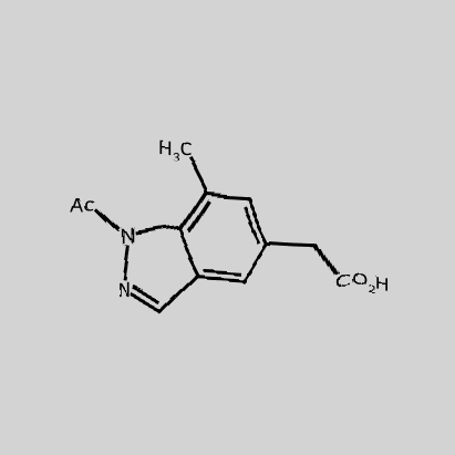 CC(=O)n1ncc2cc(CC(=O)O)cc(C)c21